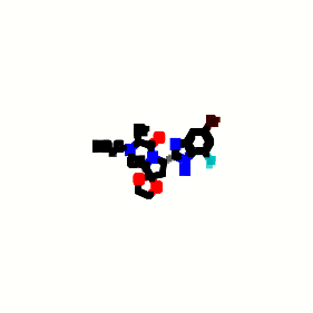 CC(C)[C@@H](C(=O)N1CC2(C[C@H]1c1nc3cc(Br)cc(F)c3[nH]1)OCCO2)N(C)C(=O)O